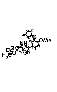 COc1ccc(C2=NOC(CCOS(C)(=O)=O)(C(N)=O)C2)cc1OC1CCCC1